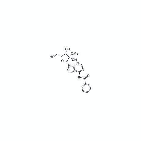 CO[C@@]1(O)[C@H](O)[C@@H](CO)O[C@H]1n1ccc2c(NC(=O)c3ccccc3)ncnc21